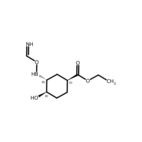 CCOC(=O)[C@H]1CC[C@@H](O)[C@H](BOC=N)C1